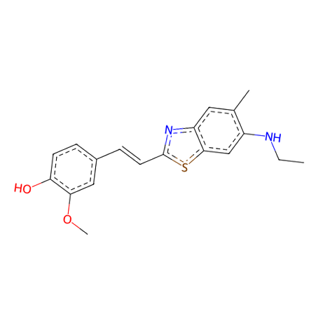 CCNc1cc2sc(C=Cc3ccc(O)c(OC)c3)nc2cc1C